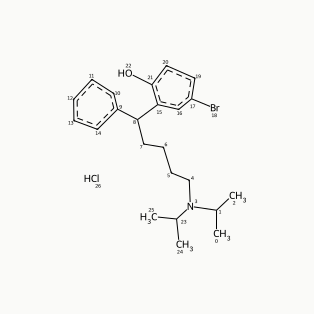 CC(C)N(CCCCC(c1ccccc1)c1cc(Br)ccc1O)C(C)C.Cl